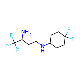 NC(CCNC1CCC(F)(F)CC1)C(F)(F)F